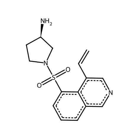 C=Cc1cncc2cccc(S(=O)(=O)N3CC[C@@H](N)C3)c12